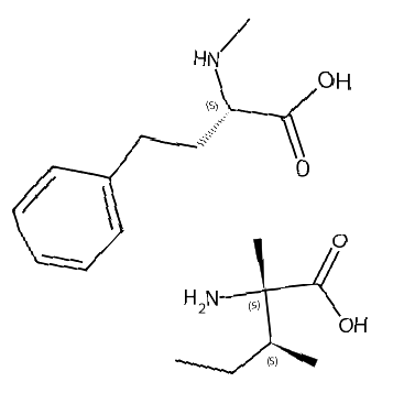 CC[C@H](C)[C@](C)(N)C(=O)O.CN[C@@H](CCc1ccccc1)C(=O)O